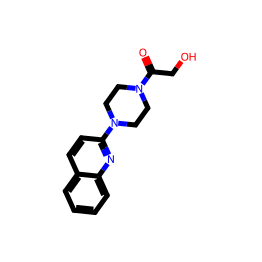 O=C(CO)N1CCN(c2ccc3ccccc3n2)CC1